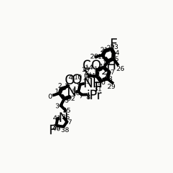 Cc1cc(=O)n(C(CC(C)C)C(=O)N[C@@H](CC(=O)O)c2cc(-c3c(C)cc(F)cc3C)cc(C)c2F)cc1CCN1CCC(F)C1